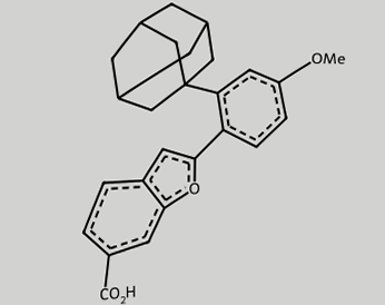 COc1ccc(-c2cc3ccc(C(=O)O)cc3o2)c(C23CC4CC(CC(C4)C2)C3)c1